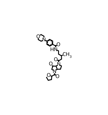 CC(CCNC(=O)c1ccc(N2CCOCC2)cc1)CC(=O)N1CCC2C1C(=O)CN2C(=O)C1CCCO1